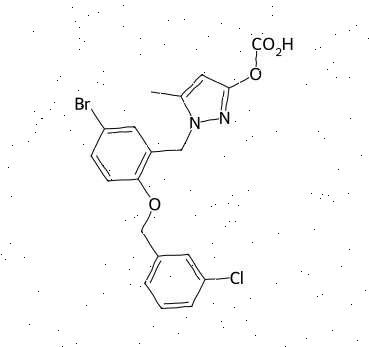 Cc1cc(OC(=O)O)nn1Cc1cc(Br)ccc1OCc1cccc(Cl)c1